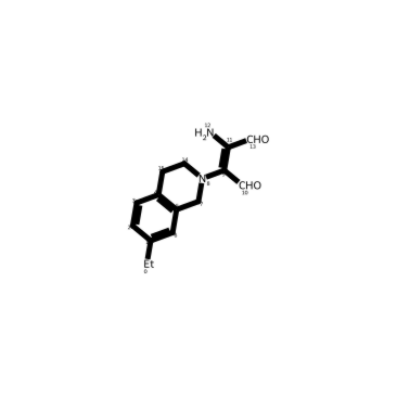 CCc1ccc2c(c1)CN(/C(C=O)=C(\N)C=O)CC2